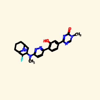 CN(c1ccc(-c2ccc(-c3ncn(C)c(=O)n3)cc2O)nn1)[C@@H]1CC2CCCC(N2)[C@@H]1F